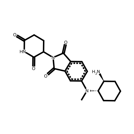 CN(c1ccc2c(c1)C(=O)N(C1CCC(=O)NC1=O)C2=O)[C@H]1CCCC[C@@H]1N